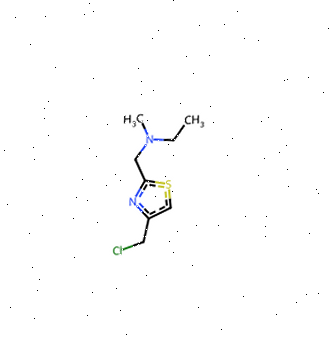 CCN(C)Cc1nc(CCl)cs1